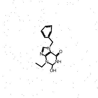 CCN1c2ncn(Cc3ccccc3)c2C(=O)NC1O